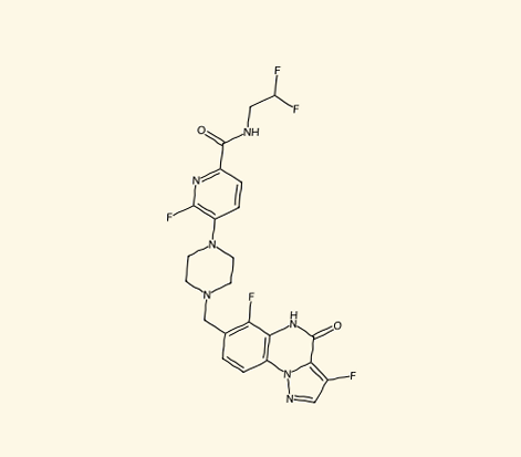 O=C(NCC(F)F)c1ccc(N2CCN(Cc3ccc4c([nH]c(=O)c5c(F)cnn54)c3F)CC2)c(F)n1